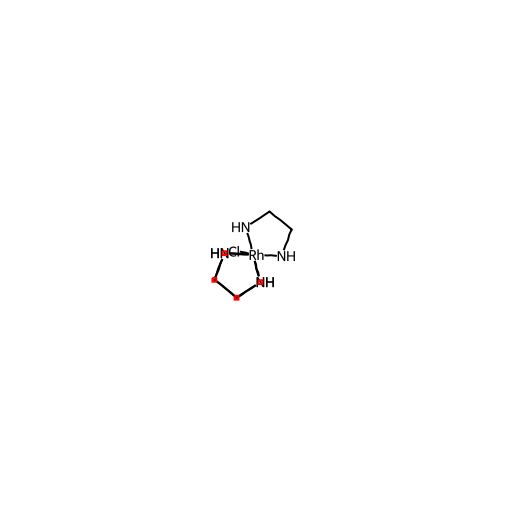 [Cl][Rh]123([NH]CC[NH]1)([NH]CC[NH]2)[NH]CC[NH]3